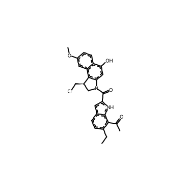 CCc1ccc2cc(C(=O)N3C[C@@H](CCl)c4c3cc(O)c3ccc(OC)cc43)[nH]c2c1C(C)=O